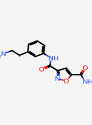 NC[CH]c1cccc(NC(=O)c2cc(C(N)=O)on2)c1